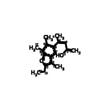 C=C(O)/C=C(/C)c1cc2c(C)c(CC)oc2c(C)c1C